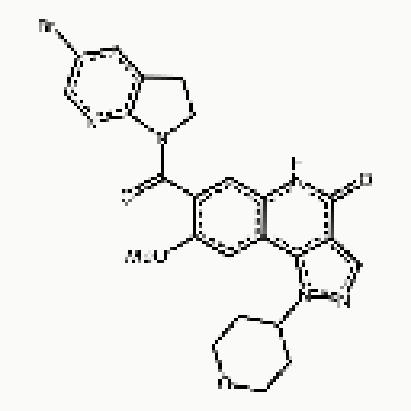 COc1cc2c(cc1C(=O)N1CCc3cc(Br)cnc31)[nH]c(=O)c1cnn(C3CCOCC3)c12